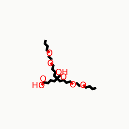 CCCCOCCOCCCCC(CCCCOCCOCCCC)(CCCC(=O)O)C(=O)O